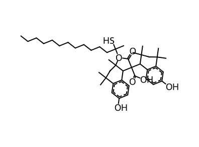 CCCCCCCCCCCCC(C)(S)OC(=O)C(C(=O)O)(C(c1ccc(O)cc1C(C)(C)C)C(C)(C)C)C(c1ccc(O)cc1C(C)(C)C)C(C)(C)C